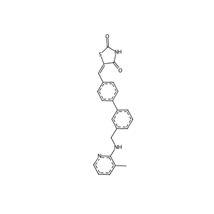 Cc1cccnc1NCc1cccc(-c2ccc(C=C3SC(=O)NC3=O)cc2)c1